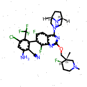 CN1CC[C@@H](F)[C@](C)(COc2nc(N3C[C@H]4CC[C@@H](C3)N4)c3cc(F)c(-c4c(C#N)c(N)cc(Cl)c4C(F)(F)F)c(F)c3n2)C1